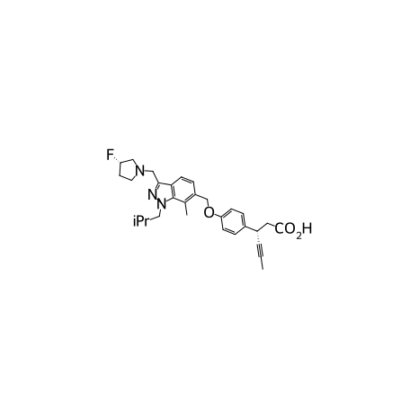 CC#C[C@@H](CC(=O)O)c1ccc(OCc2ccc3c(CN4CC[C@H](F)C4)nn(CC(C)C)c3c2C)cc1